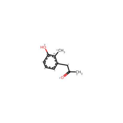 CC(=O)Cc1cccc(O)c1C